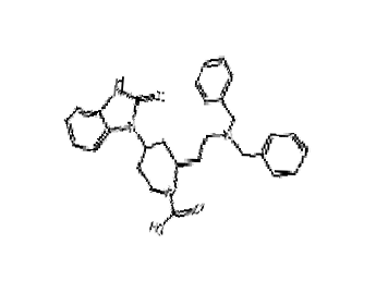 O=C(O)N1CCC(n2c(=O)[nH]c3ccccc32)CC1CCN(Cc1ccccc1)Cc1ccccc1